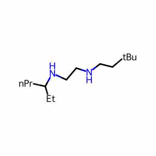 CCCC(CC)NCCNCCC(C)(C)C